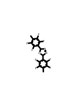 Cc1c(F)c(F)c(C2N=NC(c3c(F)c(F)c(C)c(F)c3F)O2)c(F)c1F